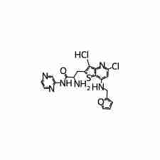 Cc1c(CC(N)C(=O)Nc2cnccn2)sc2c(NCc3ccco3)cc(Cl)nc12.Cl